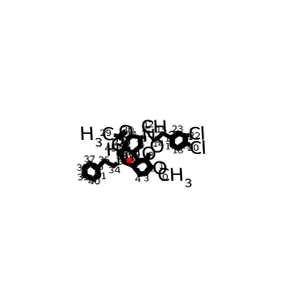 COc1ccc2c3c1OC1C(N(C)C(=O)Cc4ccc(Cl)c(Cl)c4)CC[C@@]4(OC(C)=O)[C@@H](C2)N(CCc2ccccc2)CC[C@]314